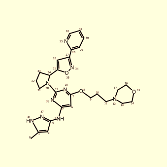 Cc1cc(Nc2cc(OCCCN3CCOCC3)nc(N3CCCC3c3cc(-c4ccccn4)no3)n2)n[nH]1